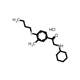 CCCCSc1ccc(C(=O)CNC2CCCCC2)cc1C.Cl